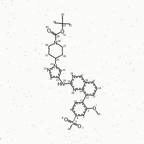 COc1cc(S(C)(=O)=O)ccc1-c1cccc2cnc(Nc3cnn(C4CCN(C(=O)OC(C)(C)C)CC4)c3)nc12